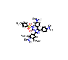 CCN(CC)c1ccc(-c2nc(-c3cc(OC)c(N(CC)CC)c(OC)c3)n(C(=O)NS(=O)(=O)c3ccc(C)cc3)c2-c2ccc(N(CC)CC)cc2)cc1